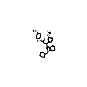 N[C@H]1CC[C@H](NC(=O)CC(c2cccc(OC(F)(F)F)c2)c2cn(CC3CCCCC3)c3ccccc23)CC1